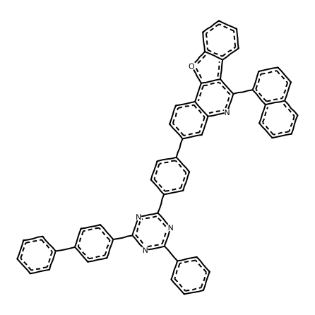 c1ccc(-c2ccc(-c3nc(-c4ccccc4)nc(-c4ccc(-c5ccc6c(c5)nc(-c5cccc7ccccc57)c5c7ccccc7oc65)cc4)n3)cc2)cc1